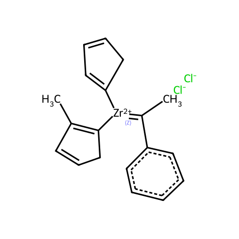 CC1=[C](/[Zr+2]([C]2=CC=CC2)=[C](/C)c2ccccc2)CC=C1.[Cl-].[Cl-]